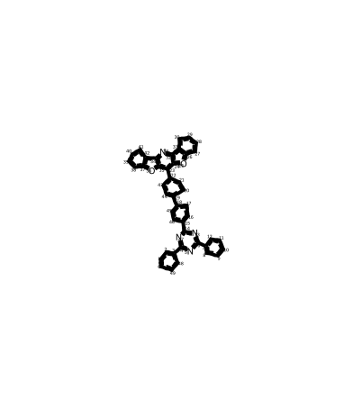 c1ccc(-c2nc(-c3ccccc3)nc(-c3ccc(-c4ccc(-c5c6oc7ccccc7c6nc6c5oc5ccccc56)cc4)cc3)n2)cc1